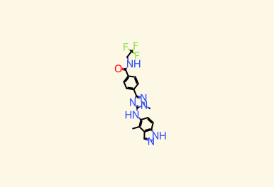 Cc1c(Nc2nc(-c3ccc(C(=O)NCC(F)(F)F)cc3)nn2C)ccc2[nH]ncc12